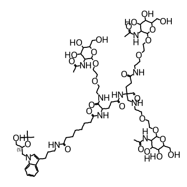 CC(=O)NC1C(OCCOCCNCC(C=O)(CCC(=O)NCCOCCOC2OC(CO)C(O)C(O)C2NC(C)=O)NC(=O)CCC(NC(=O)CCCCCCC(=O)NCCCc2cn(C[C@@H](CO)OC(C)(C)C)c3ccccc23)C(=O)NCCOCCOC2OC(CO)C(O)C(O)C2NC(C)=O)OC(CO)C(O)C1O